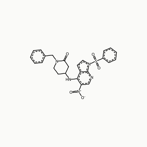 O=C1CC(Nc2c([N+](=O)[O-])cnc3c2ccn3S(=O)(=O)c2ccccc2)CCN1Cc1ccccc1